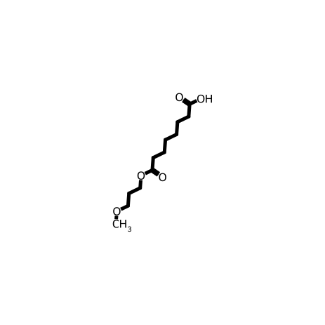 COCCCOC(=O)CCCCCCC(=O)O